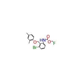 Cc1ccc(OCc2c(Br)cccc2NC(=O)OCF)c(C)c1